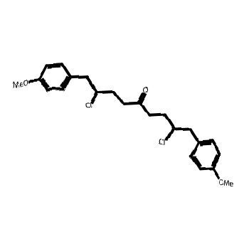 COc1ccc(CC(Cl)CCC(=O)CCC(Cl)Cc2ccc(OC)cc2)cc1